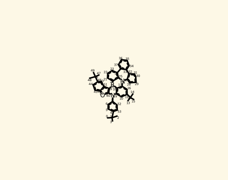 CC(C)(C)c1ccc(N2c3cc(C(C)(C)C)cc4c3B(c3cccc5c3N4c3ccccc3-c3ccccc3-5)c3c2oc2ccc(C(C)(C)C)cc32)cc1